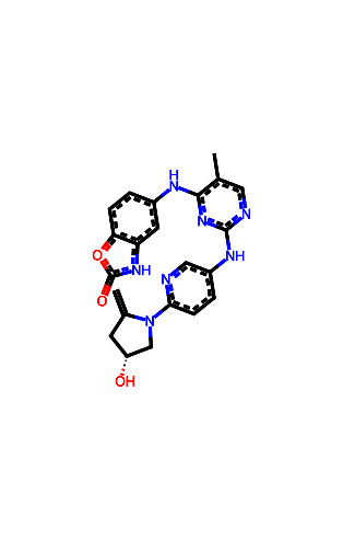 C=C1C[C@@H](O)CN1c1ccc(Nc2ncc(C)c(Nc3ccc4oc(=O)[nH]c4c3)n2)cn1